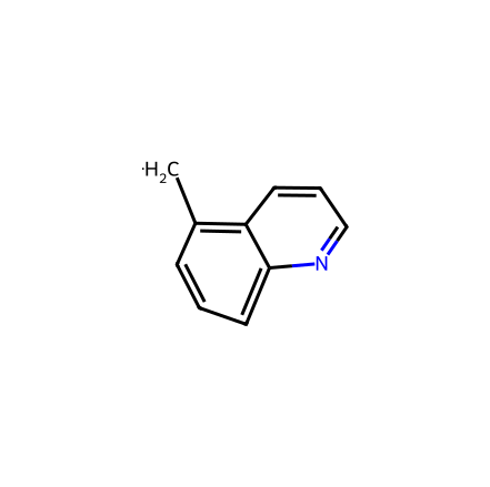 [CH2]c1cccc2ncccc12